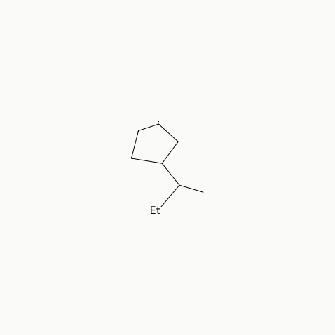 CCC(C)C1C[CH]CC1